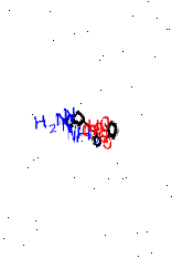 Nc1nc(N)c2cc(COC(=O)c3ccccc3OC(=O)c3ccccc3O)ccc2n1